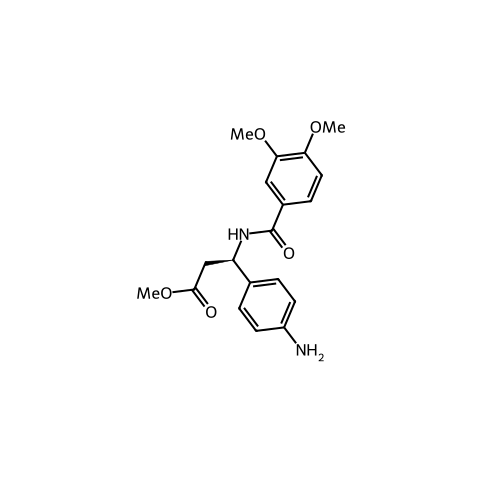 COC(=O)C[C@@H](NC(=O)c1ccc(OC)c(OC)c1)c1ccc(N)cc1